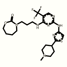 CN1CCC(c2nc(Nc3ncc(C(F)(F)F)c(NCCCN4CCCCOC4=O)n3)cs2)CC1